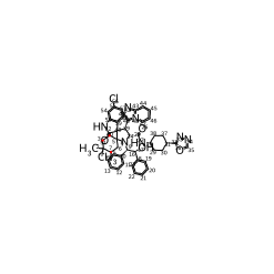 CC1(C)CCC2(CC1)N([C@H](c1ccccc1)[C@@H](O)c1ccccc1)[C@@H](C(=O)N[C@H]1CC[C@H](c3nnco3)CC1)[C@H](c1cnc3ccccn13)C21C(=O)Nc2cc(Cl)ccc21